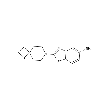 Nc1ccc2oc(N3CCC4(CCO4)CC3)nc2c1